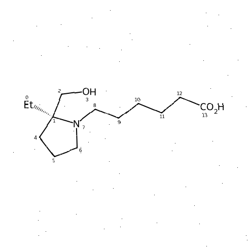 CC[C@@]1(CO)CCCN1CCCCCC(=O)O